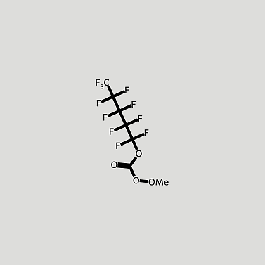 COOC(=O)OC(F)(F)C(F)(F)C(F)(F)C(F)(F)C(F)(F)F